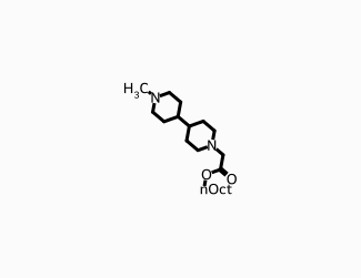 CCCCCCCCOC(=O)CN1CCC(C2CCN(C)CC2)CC1